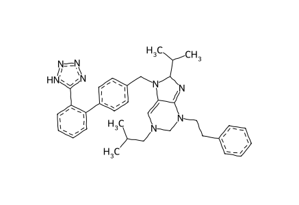 CC(C)CN1C=C2C(=NC(C(C)C)N2Cc2ccc(-c3ccccc3-c3nnn[nH]3)cc2)N(CCc2ccccc2)C1